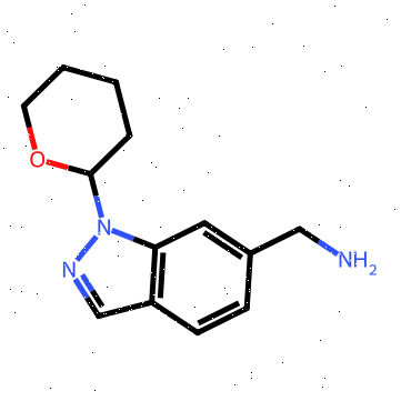 NCc1ccc2cnn(C3CCCCO3)c2c1